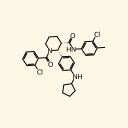 Cc1ccc(NC(=O)[C@H]2CCCN(C(=O)c3ccccc3Cl)[C@H]2c2ccc(NC3CCCC3)cc2)cc1Cl